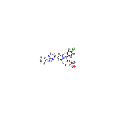 O=c1cc(-c2ccnc(NC3CCOCC3)n2)ccn1[C@H](COP(=O)(O)O)c1ccc(Cl)c(F)c1